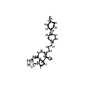 Cn1ccc2c1/C(=N\O)CCN(CCCN1CCN(c3ccc(F)cc3)CC1)C2=O